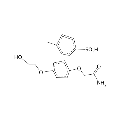 Cc1ccc(S(=O)(=O)O)cc1.NC(=O)COc1ccc(OCCO)cc1